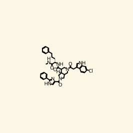 CNC(=O)[C@H](CCCc1ccccc1)NC(=O)C1CN(C(=O)Cc2c[nH]c3cc(Cl)ccc23)CC2CN(C(=O)c3c[nH]c(-c4ccccc4)n3)C[C@@H]21